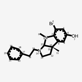 CN1c2c(Br)cc(O)cc2[C@]2(C)CCN(CCc3ccccc3)C12